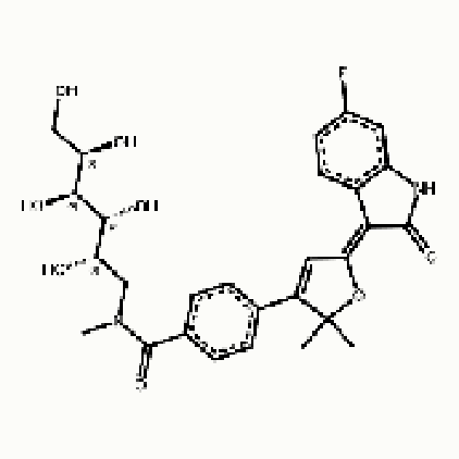 CN(C[C@H](O)[C@@H](O)[C@@H](O)[C@H](O)CO)C(=O)c1ccc(C2=CC(=C3C(=O)Nc4cc(F)ccc43)OC2(C)C)cc1